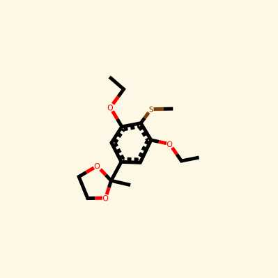 CCOc1cc(C2(C)OCCO2)cc(OCC)c1SC